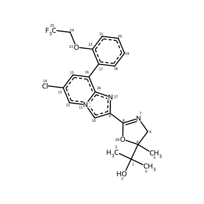 CC(C)(O)C1(C)CN=C(c2cn3cc(Cl)cc(-c4ccccc4OCC(F)(F)F)c3n2)O1